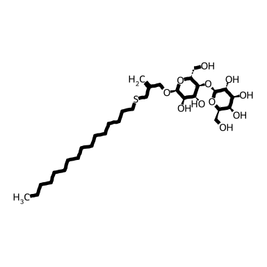 C=C(CO[C@H]1O[C@H](CO)[C@@H](O[C@@H]2O[C@H](CO)[C@H](O)[C@H](O)[C@H]2O)[C@H](O)[C@H]1O)CSCCCCCCCCCCCCCCCC